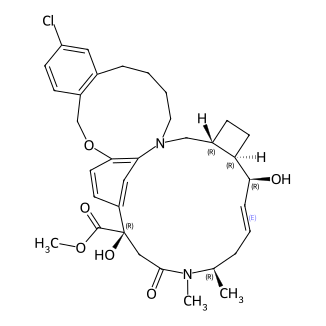 COC(=O)[C@@]1(O)CC(=O)N(C)[C@H](C)C/C=C/[C@H](O)[C@@H]2CC[C@H]2CN2CCCCc3cc(Cl)ccc3COc3ccc1cc32